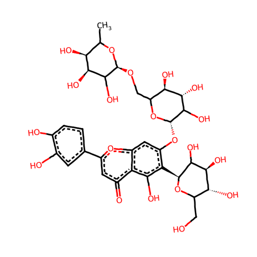 CC1O[C@@H](OCC2O[C@@H](Oc3cc4oc(-c5ccc(O)c(O)c5)cc(=O)c4c(O)c3[C@@H]3OC(CO)[C@@H](O)[C@H](O)C3O)C(O)[C@@H](O)[C@@H]2O)C(O)[C@@H](O)[C@H]1O